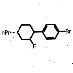 CCC[C@@H]1CCC(c2ccc(Br)cc2)C(F)C1